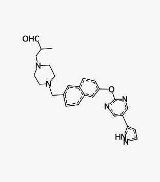 CC(C=O)CN1CCN(Cc2ccc3cc(Oc4ncc(-c5ccn[nH]5)cn4)ccc3c2)CC1